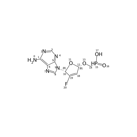 Nc1ncnc2c1ncn2[C@@H]1O[C@H](OC[PH](=O)O)C=C1F